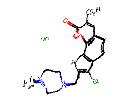 CN1CCN(Cc2[se]c3c(ccc4cc(C(=O)O)c(=O)oc43)c2Br)CC1.Cl